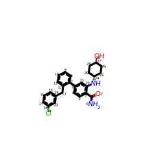 NC(=O)c1ccc(-c2ccccc2Cc2cccc(Cl)c2)cc1N[C@H]1CC[C@H](O)CC1